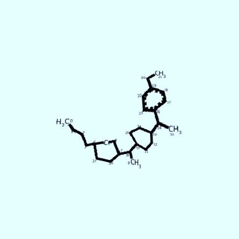 CCCCC1CCC(C(C)C2CCC(C(C)c3ccc(CC)cc3)CC2)CC1